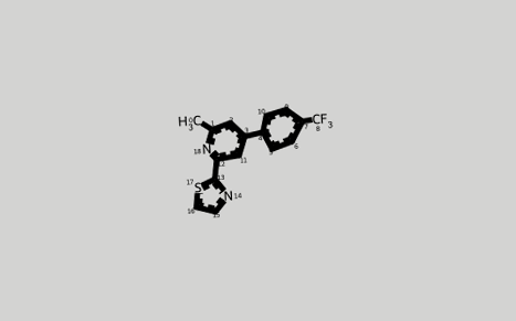 Cc1cc(-c2ccc(C(F)(F)F)cc2)cc(-c2nccs2)n1